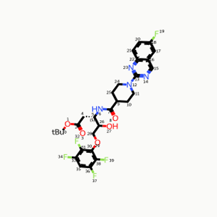 CC(C)(C)OC(=O)C[C@H](NC(=O)C1CCN(c2ncc3cc(F)ccc3n2)CC1)C(O)COc1c(F)c(F)cc(F)c1F